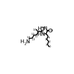 CCCCCC(NC(=O)C(C)CCCCN)C(N)=O